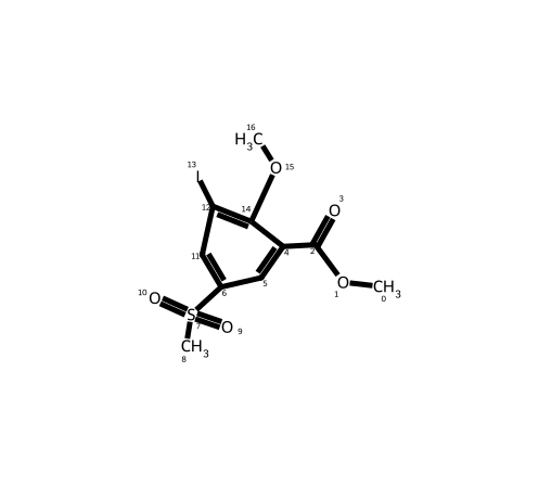 COC(=O)c1cc(S(C)(=O)=O)cc(I)c1OC